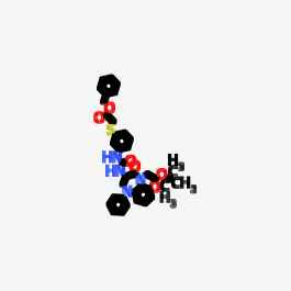 CC(C)(C)OC(=O)CN1C(=O)C(NC(=O)Nc2cccc(SCC(=O)OCc3ccccc3)c2)CN(c2ccccc2)c2ccccc21